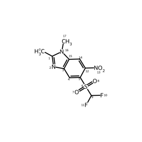 Cc1nc2cc(S(=O)(=O)C(F)F)c([N+](=O)[O-])cc2n1C